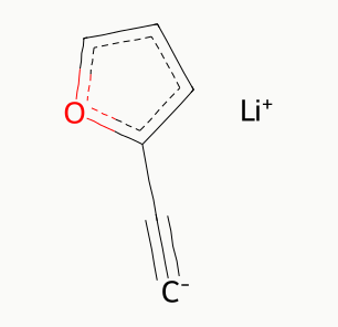 [C-]#Cc1ccco1.[Li+]